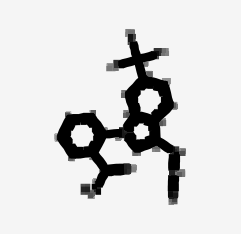 NC(=O)c1ccccc1-n1cc(N=C=O)c2ccc(C(F)(F)F)cc21